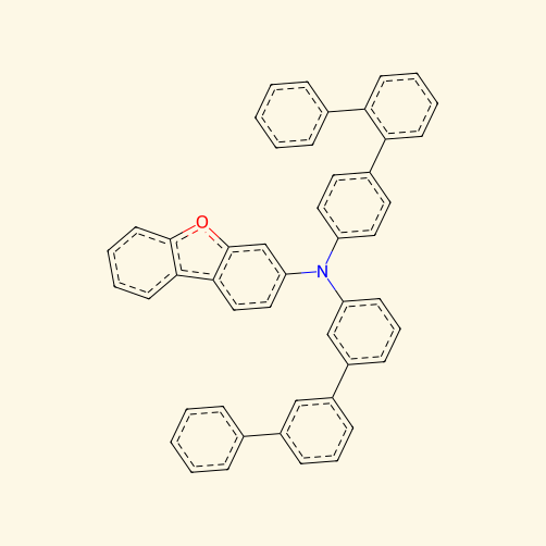 c1ccc(-c2cccc(-c3cccc(N(c4ccc(-c5ccccc5-c5ccccc5)cc4)c4ccc5c(c4)oc4ccccc45)c3)c2)cc1